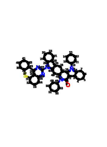 O=c1c2c3ccccc3n(-c3ccccc3)c2c2cc3c4ccccc4n(-c4nc5c6c(cccc6n4)Sc4ccccc4-5)c3cc2n1-c1ccccc1